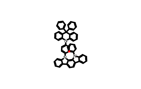 c1ccc(-n2c3ccccc3c3ccc4c5ccccc5n(-c5ccc(N6c7ccccc7C(c7ccccc7)(c7ccccc7)c7ccccc76)cc5)c4c32)cc1